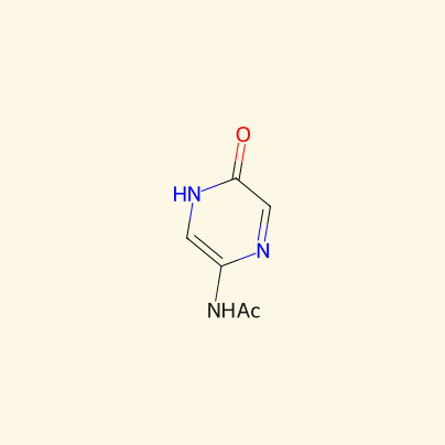 CC(=O)Nc1c[nH]c(=O)cn1